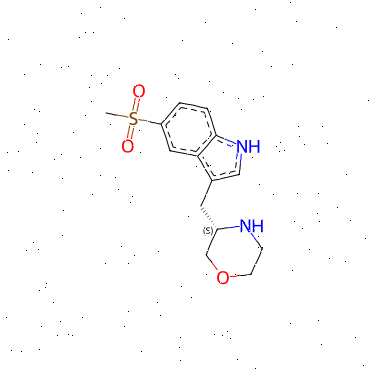 CS(=O)(=O)c1ccc2[nH]cc(C[C@H]3COCCN3)c2c1